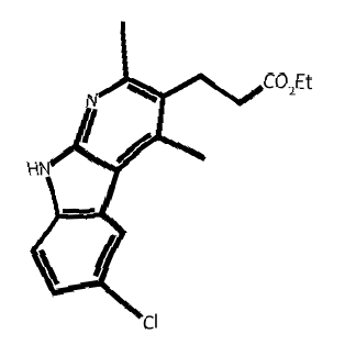 CCOC(=O)CCc1c(C)nc2[nH]c3ccc(Cl)cc3c2c1C